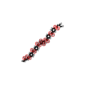 C=CC(=C)CC(=O)Oc1ccc(C(=O)Oc2ccc(C(=O)OC3COC4C(OC(=O)c5ccc(OC(=O)c6ccc(OC(=O)CC(=O)C=C)cc6)cc5)COC34)cc2)cc1